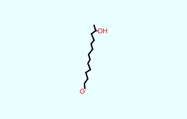 CC(O)CCCCCCCCCCCC=O